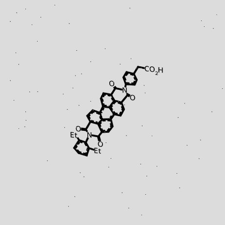 CCc1cccc(CC)c1N1C(=O)c2ccc3c4ccc5c6c(ccc(c7ccc(c2c37)C1=O)c64)C(=O)N(c1ccc(CC(=O)O)cc1)C5=O